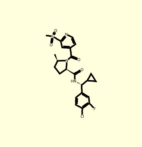 C[C@@H]1CC[C@H](C(=O)N[C@@H](c2ccc(Cl)c(F)c2)C2CC2)N1C(=O)c1ccnc(S(C)(=O)=O)c1